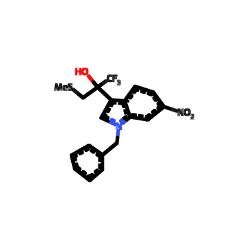 CSCC(O)(c1cn(Cc2ccccc2)c2cc([N+](=O)[O-])ccc12)C(F)(F)F